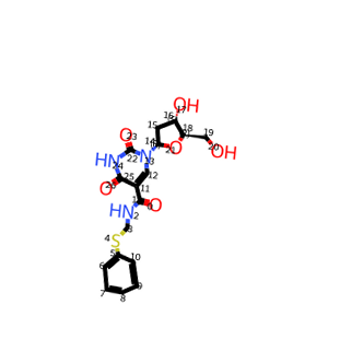 O=C(NCSc1ccccc1)c1cn([C@H]2C[C@H](O)[C@@H](CO)O2)c(=O)[nH]c1=O